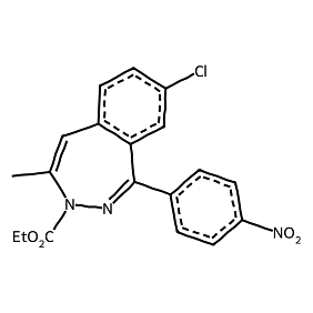 CCOC(=O)N1N=C(c2ccc([N+](=O)[O-])cc2)c2cc(Cl)ccc2C=C1C